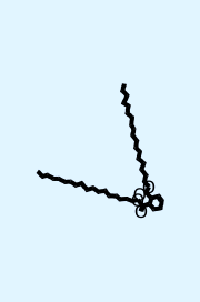 CCCCCCCCCCCCCCCCCCOC(=O)C1C=CCCC1C(=O)OCCCCCCCCCCCCCCCCCC